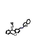 C(=C\c1ccc2c(n1)CCCC2)/c1ccc2c(c1)C(SC[C]1CC1)c1ccccc1CO2